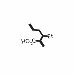 C=CCC(CC)C(=C)C(=O)O